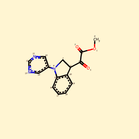 COC(=O)C(=O)C1CN(c2cncnc2)c2ccccc21